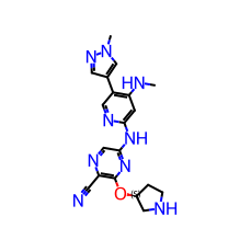 CNc1cc(Nc2cnc(C#N)c(O[C@H]3CCNC3)n2)ncc1-c1cnn(C)c1